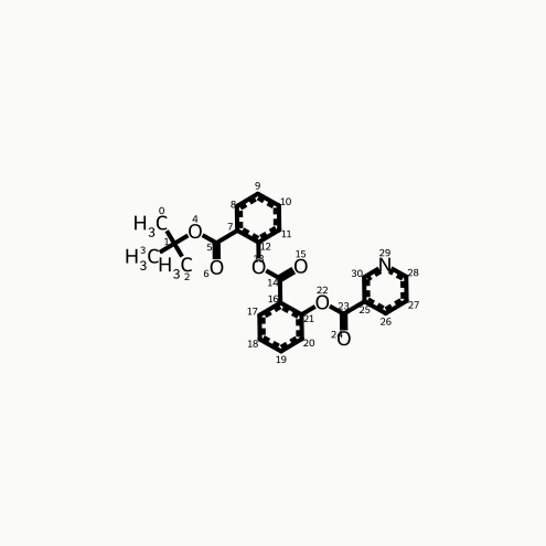 CC(C)(C)OC(=O)c1ccccc1OC(=O)c1ccccc1OC(=O)c1cccnc1